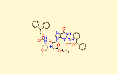 COC(=O)CN(C(=O)Cn1cnc2c(=O)[nH]c(NC(=O)OC(c3ccccc3)c3ccccc3)nc21)[C@@H]1COC[C@H]1NC(=O)OCC1c2ccccc2-c2ccccc21